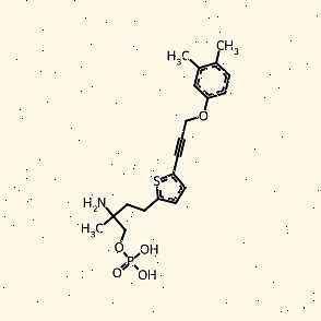 Cc1ccc(OCC#Cc2ccc(CCC(C)(N)COP(=O)(O)O)s2)cc1C